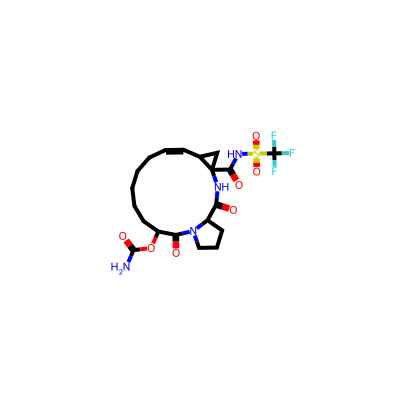 NC(=O)OC1CCCCCC=CC2CC2(C(=O)NS(=O)(=O)C(F)(F)F)NC(=O)C2CCCN2C1=O